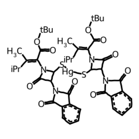 C/C(=C(\C(=O)OC(C)(C)C)N1C(=O)C(N2C(=O)c3ccccc3C2=O)C1[S][Hg][S]C1C(N2C(=O)c3ccccc3C2=O)C(=O)N1/C(C(=O)OC(C)(C)C)=C(/C)C(C)C)C(C)C